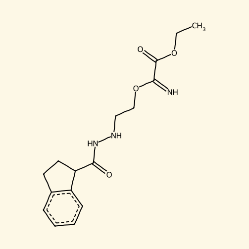 CCOC(=O)C(=N)OCCNNC(=O)C1CCc2ccccc21